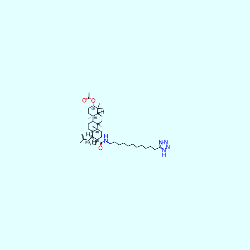 C=C(C)[C@@H]1CC[C@]2(C(=O)NCCCCCCCCCCCc3nnn[nH]3)CC[C@]3(C)[C@H](CCC4[C@@]5(C)CC[C@H](OC(C)=O)C(C)(C)[C@@H]5CC[C@]43C)[C@@H]12